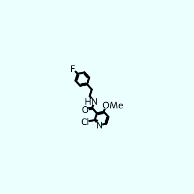 COc1ccnc(Cl)c1C(=O)NCCc1ccc(F)cc1